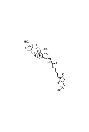 C[C@@H]1C[C@H]2[C@@H]3CCC4=CC(=NNC(=O)CCCCCN5C(=O)CC(SC(C)(C)O)C5=O)C=C[C@]4(C)[C@@]3(F)[C@@H](O)C[C@]2(C)[C@@]1(O)C(=O)CO